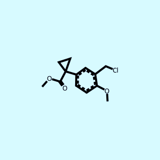 COC(=O)C1(c2ccc(OC)c(CCl)c2)CC1